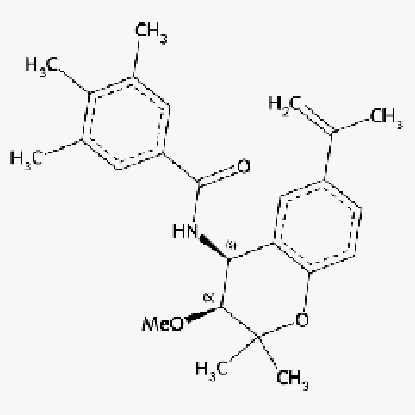 C=C(C)c1ccc2c(c1)[C@H](NC(=O)c1cc(C)c(C)c(C)c1)[C@H](OC)C(C)(C)O2